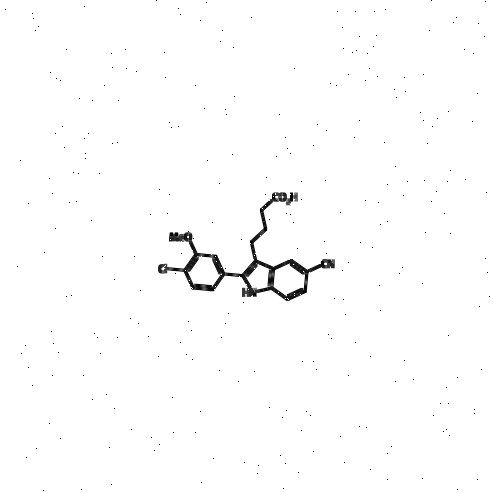 COc1cc(-c2[nH]c3ccc(C#N)cc3c2CCCC(=O)O)ccc1Cl